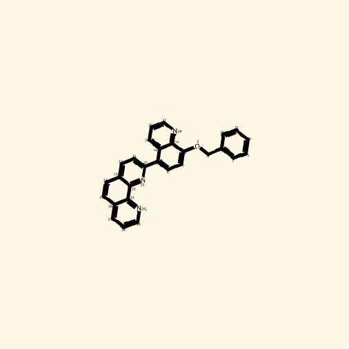 c1ccc(COc2ccc(-c3ccc4ccc5cccnc5c4n3)c3cccnc23)cc1